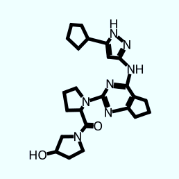 O=C(C1CCCN1c1nc2c(c(Nc3cc(C4CCCC4)[nH]n3)n1)CCC2)N1CCC(O)C1